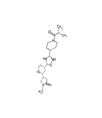 CC(C)C(=O)N1CCC(C2NOC(C3CCNC(C4CNN(C)C4)C3)N2)CC1